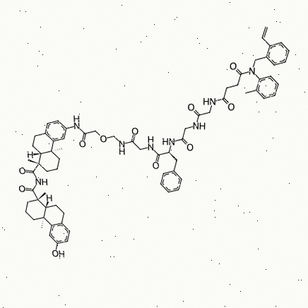 C=Cc1ccccc1CN(C(=O)CCC(=O)NCC(=O)NCC(=O)N[C@@H](Cc1ccccc1)C(=O)NCC(=O)NCOCC(=O)Nc1ccc2c(c1)[C@@]1(C)CCC[C@](C)(C(=O)NC(=O)[C@@]3(C)CCC[C@]4(C)c5cc(O)ccc5CC[C@@H]34)[C@@H]1CC2)c1ccccc1C